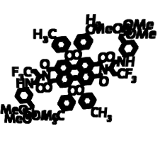 CO[Si](CC1CCCC(NC(=O)C(CC(F)(F)F)N2C(=O)c3cc(Oc4ccc(C)cc4)c4c5c(Oc6ccc(C)cc6)cc6c7c(cc(Oc8ccc(C)cc8)c(c8c(Oc9ccc(C)cc9)cc(c3c48)C2=O)c75)C(=O)N(C(CC(F)(F)F)C(=O)NC2CCCC(C[Si](OC)(OC)OC)C2)C6=O)C1)(OC)OC